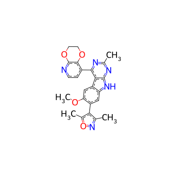 COc1cc2c(cc1-c1c(C)noc1C)[nH]c1nc(C)nc(-c3ccnc4c3OCCO4)c12